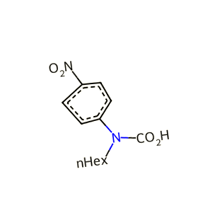 CCCCCCN(C(=O)O)c1ccc([N+](=O)[O-])cc1